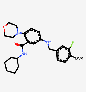 COc1ccc(CNc2ccc(N3CCOCC3)c(C(=O)NC3CCCCC3)c2)cc1F